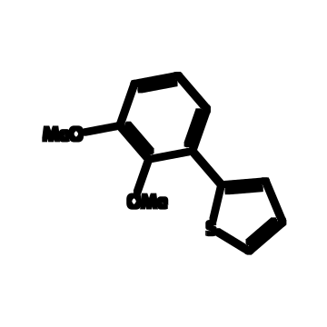 COc1cccc(-c2cccs2)c1OC